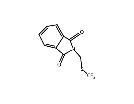 O=C1c2ccccc2C(=O)N1CSC(F)(F)F